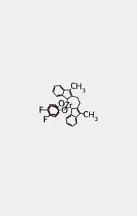 CC1=C2CCC3=C(C)c4ccccc4[CH]3[Zr]([O]c3ccc(F)cc3)([O]c3ccc(F)cc3)[CH]2c2ccccc21